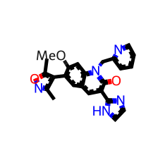 COc1cc2c(cc1-c1c(C)noc1C)cc(-c1ncc[nH]1)c(=O)n2Cc1ccccn1